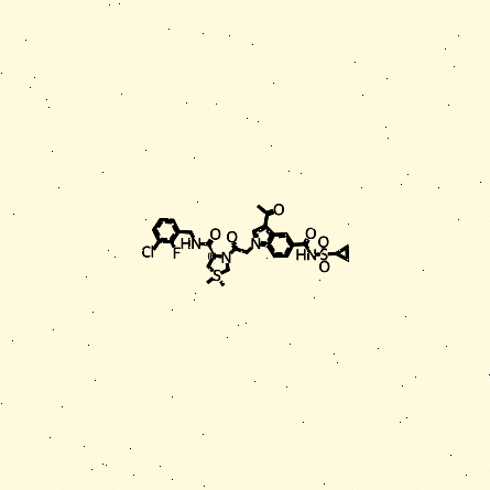 CC(=O)c1cn(CC(=O)N2CS(C)(C)C[C@H]2C(=O)NCc2cccc(Cl)c2F)c2ccc(C(=O)NS(=O)(=O)C3CC3)cc12